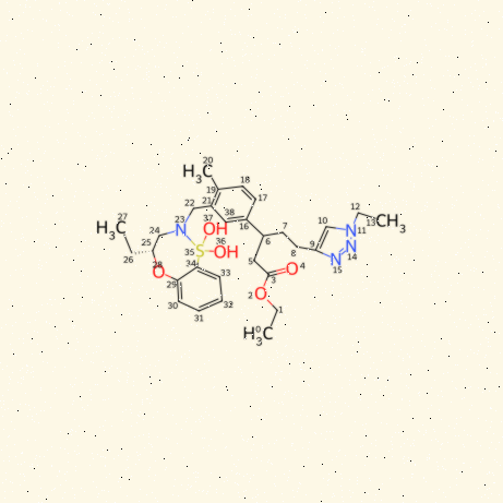 CCOC(=O)CC(CCc1cn(CC)nn1)c1ccc(C)c(CN2C[C@@H](CC)Oc3ccccc3S2(O)O)c1